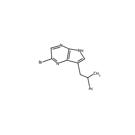 CC(=O)C(C)Cc1c[nH]c2ncc(Br)nc12